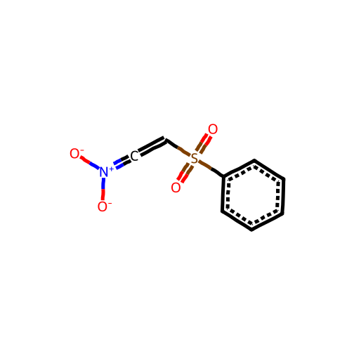 O=S(=O)(C=C=[N+]([O-])[O-])c1ccccc1